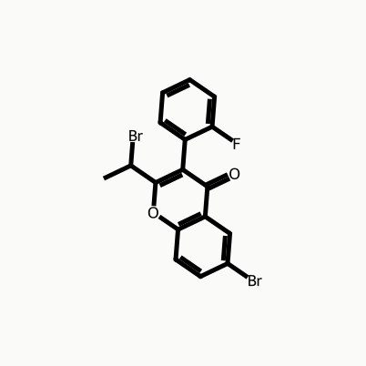 CC(Br)c1oc2ccc(Br)cc2c(=O)c1-c1ccccc1F